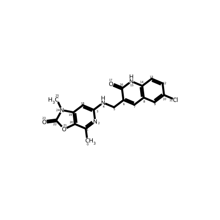 Cc1nc(NCc2cc3cc(Cl)ccc3[nH]c2=O)cc2c1oc(=O)n2C